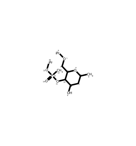 CC(C)OCC1OC(C)CC(O)C1OP(C)(=O)OC(C)C